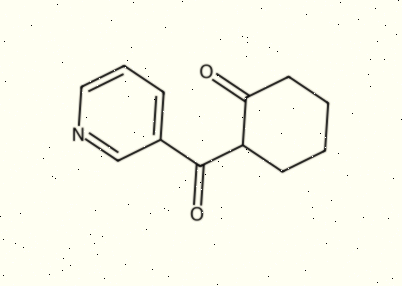 O=C1CCCCC1C(=O)c1cccnc1